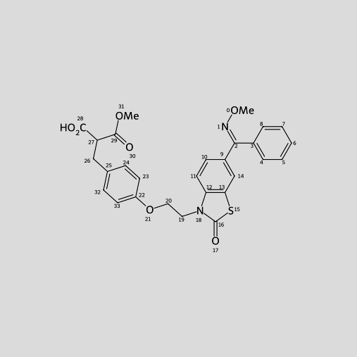 CON=C(c1ccccc1)c1ccc2c(c1)sc(=O)n2CCOc1ccc(CC(C(=O)O)C(=O)OC)cc1